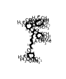 CON1C(C)(C)CCC(OCCCCCCCC(OC2CCC(C)(C)N(OC)C(C)(C)C2)C(OC2CCC(C)(C)N(O)C(C)(C)C2)OC2CCC(C)(C)N(OC)C(C)(C)C2)CC1(C)C